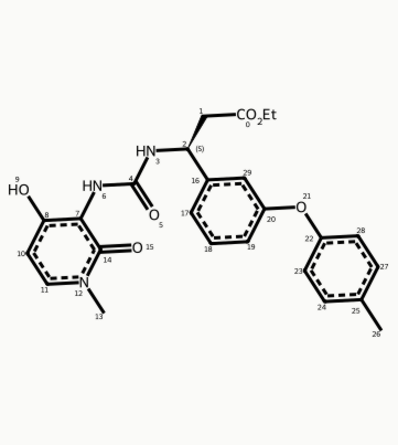 CCOC(=O)C[C@H](NC(=O)Nc1c(O)ccn(C)c1=O)c1cccc(Oc2ccc(C)cc2)c1